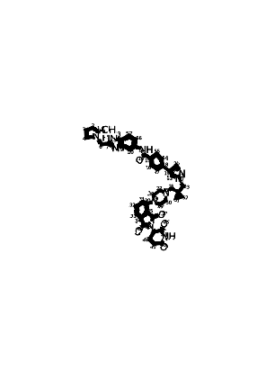 C[C@H]1CCCN1Cc1nc2cc(NC(=O)c3ccc(-c4cnn(CC5(CN6CCN(c7cccc8c7C(=O)N(C7CCC(=O)NC7=O)C8=O)CC6)CC5)c4)cc3)ccc2[nH]1